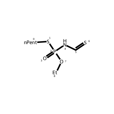 CCCCCSP(=O)(NC=S)OCC